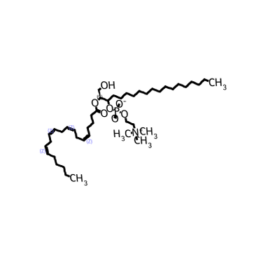 CCCCC/C=C\C/C=C\C/C=C\C/C=C\CCCC(=O)O[C@@H](CO)C(CCCCCCCCCCCCCCCC)OP(=O)([O-])OCC[N+](C)(C)C